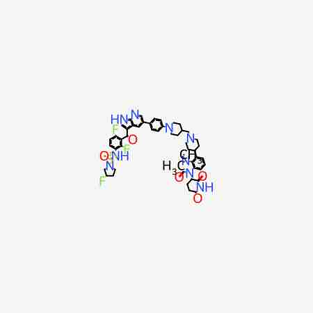 CN(C)c1c(C2CCN(CC3CCN(c4ccc(-c5cnc6[nH]cc(C(=O)c7c(F)ccc(N[S+]([O-])N8CCC(F)C8)c7F)c6c5)cc4)CC3)CC2)cccc1N(C=O)C1CCC(=O)NC1=O